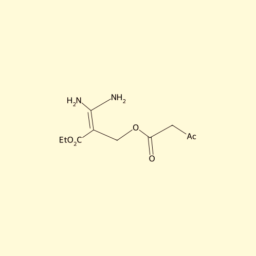 CCOC(=O)C(COC(=O)CC(C)=O)=C(N)N